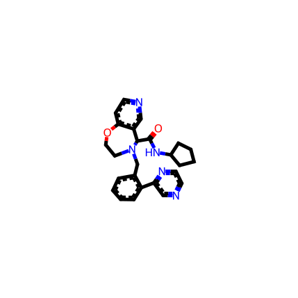 O=C(NC1CCCC1)C1c2cnccc2OCCN1Cc1ccccc1-c1cnccn1